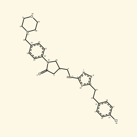 O=C1CC(CNc2nnc(CCc3ccc(Cl)cc3)s2)CN1c1ccc(CN2CCOCC2)cc1